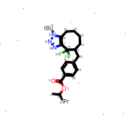 CC(C)C(C)OC(=O)c1ccc(CC2CCCCc3c(nnn3C(C)(C)C)C2(F)F)cc1